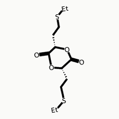 CCSCC[C@@H]1OC(=O)[C@H](CCSCC)OC1=O